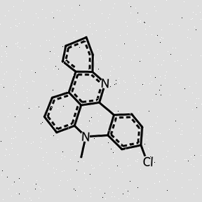 CN1c2cc(Cl)ccc2-c2nc3ccccc3c3cccc1c23